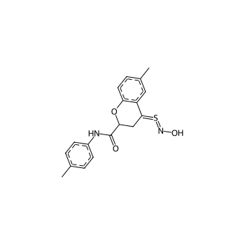 Cc1ccc(NC(=O)C2CC(=S=NO)c3cc(C)ccc3O2)cc1